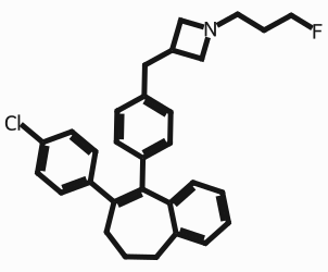 FCCCN1CC(Cc2ccc(C3=C(c4ccc(Cl)cc4)CCCc4ccccc43)cc2)C1